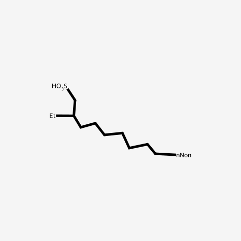 CCCCCCCCCCCCCCCCC(CC)CS(=O)(=O)O